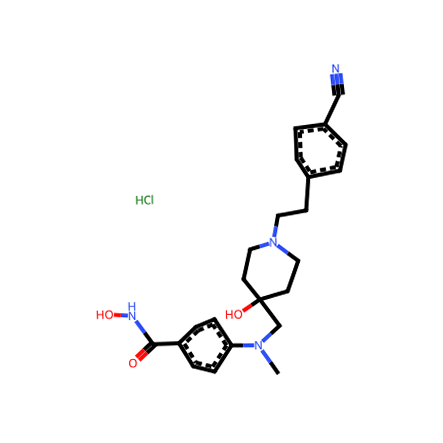 CN(CC1(O)CCN(CCc2ccc(C#N)cc2)CC1)c1ccc(C(=O)NO)cc1.Cl